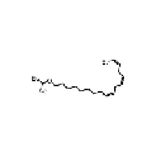 CC/C=C\C/C=C\C/C=C\CCCCCCCCOC(CC)C(C)=O